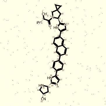 CC(C)[C@H](C)C(=O)N1CC2(CC2)C[C@H]1c1ncc(-c2ccc3cc(-c4ccc(-c5cnc([C@@H]6C[C@H](C#N)CN6)[nH]5)cc4)ccc3c2)[nH]1